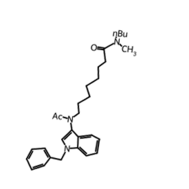 CCCCN(C)C(=O)CCCCCCCN(C(C)=O)c1cn(Cc2ccccc2)c2ccccc12